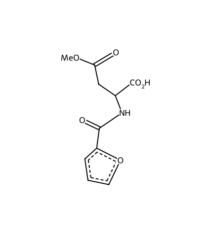 COC(=O)CC(NC(=O)c1ccco1)C(=O)O